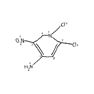 NC1=C([N+](=O)[O-])CN(Cl)C(Cl)=C1